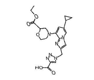 CCOC(=O)C1CN(c2cc(C3CC3)cn3cc(Cn4cc(C(=O)O)nn4)nc23)CCO1